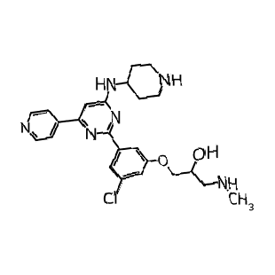 CNCC(O)COc1cc(Cl)cc(-c2nc(NC3CCNCC3)cc(-c3ccncc3)n2)c1